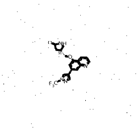 O=C1C[C@@H](COc2cc(-c3cnn(C(F)(F)F)c3)cc3ncccc23)CN1